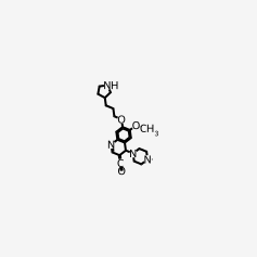 COc1cc2c(cc1OCCCC1CCNC1)N=CC(=C=O)C2N1CC[N]CC1